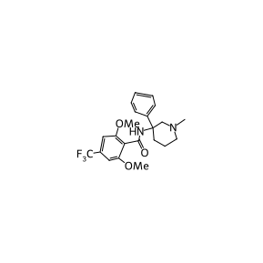 COc1cc(C(F)(F)F)cc(OC)c1C(=O)NC1(c2ccccc2)CCCN(C)C1